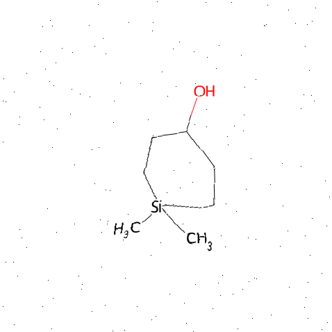 C[Si]1(C)CCC(O)CC1